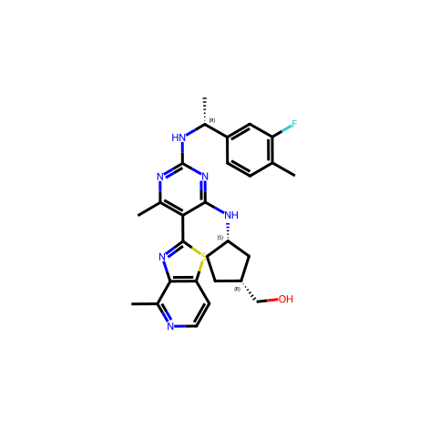 Cc1ccc([C@@H](C)Nc2nc(C)c(-c3nc4c(C)nccc4s3)c(N[C@H]3CC[C@@H](CO)C3)n2)cc1F